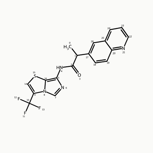 CC(C(=O)Nc1ncn2c(C(F)(F)F)csc12)c1ccc2ncccc2c1